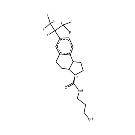 O=C(NCCCO)[C@@H]1CCC2c3ccc(C(F)(C(F)(F)F)C(F)(F)F)cc3CCC21